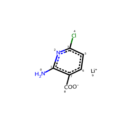 Nc1nc(Cl)ccc1C(=O)[O-].[Li+]